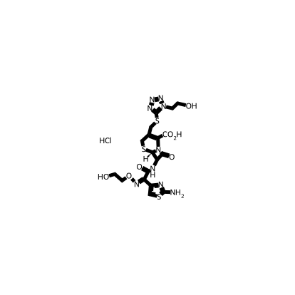 Cl.Nc1nc(/C(=N/OCCO)C(=O)NC2C(=O)N3C(C(=O)O)=C(CSc4nnnn4CCO)CS[C@H]23)cs1